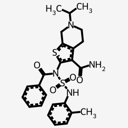 Cc1ccccc1NS(=O)(=O)N(C(=O)c1ccccc1)c1sc2c(c1C(N)=O)CCN(C(C)C)C2